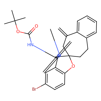 C=C1CC2(CCc3ccccc31)Oc1ccc(Br)cc1C21N=C(NC(=O)OC(C)(C)C)N(C)C1=C